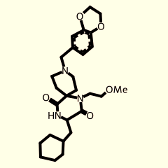 COCCN1C(=O)C(CC2CCCCC2)NC(=O)C12CCN(Cc1ccc3c(c1)OCCO3)CC2